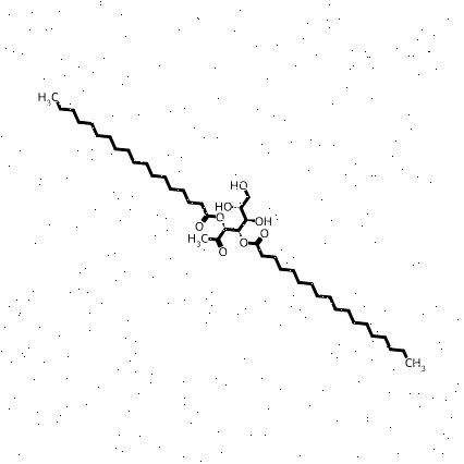 CCCCCCCCCCCCCCCCCC(=O)O[C@@H]([C@H](O)[C@H](O)CO)[C@@H](OC(=O)CCCCCCCCCCCCCCCCC)C(C)=O